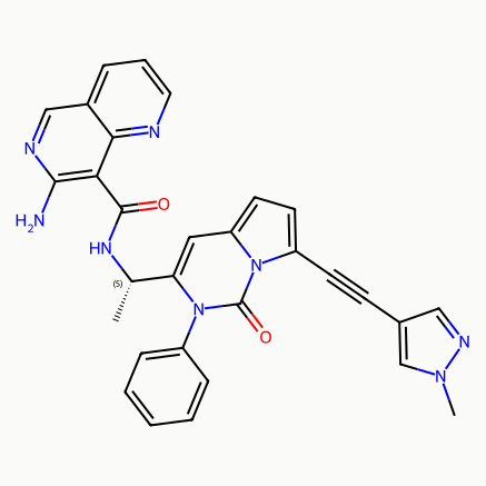 C[C@H](NC(=O)c1c(N)ncc2cccnc12)c1cc2ccc(C#Cc3cnn(C)c3)n2c(=O)n1-c1ccccc1